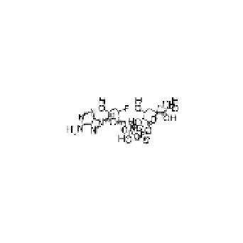 Nc1ncnc2c1ncn2[C@@H]1O[C@H](COP(=O)(O)OP(=O)(O)O[C@@H]2OC(CO)([C@H](O)CO)CC(O)C2O)C(F)C[C@@H]1O